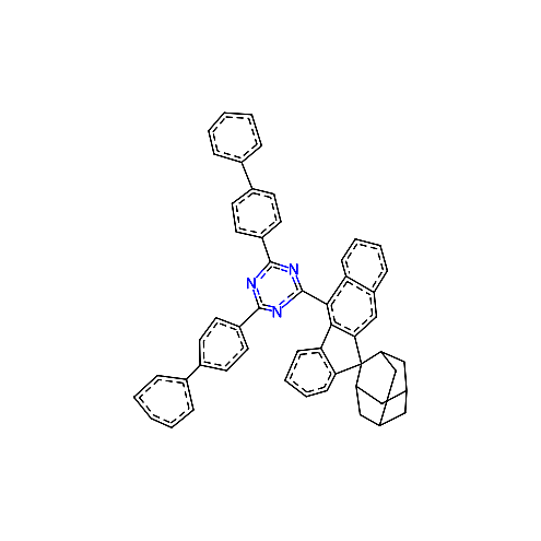 c1ccc(-c2ccc(-c3nc(-c4ccc(-c5ccccc5)cc4)nc(-c4c5c(cc6ccccc46)C4(c6ccccc6-5)C5CC6CC(C5)CC4C6)n3)cc2)cc1